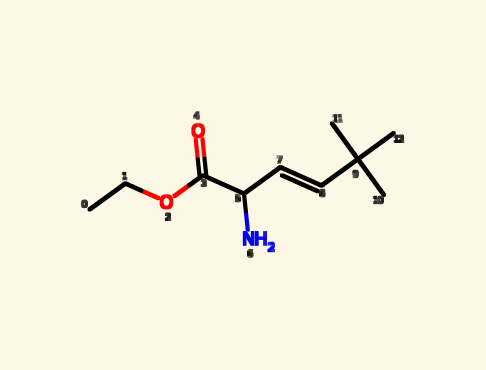 CCOC(=O)C(N)/C=C/C(C)(C)C